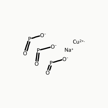 O=P[O-].O=P[O-].O=P[O-].[Cu+2].[Na+]